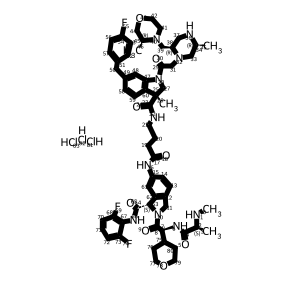 CN[C@@H](C)C(=O)N[C@H](C(=O)N1Cc2ccc(NC(=O)CCCNC(=O)[C@]3(C)CN(C(=O)CN4C[C@@H](C)NC[C@@H]4CN4CCOC[C@H]4C)c4cc(Cc5ccc(F)cc5)ccc43)cc2[C@H]1C(=O)Nc1c(F)cccc1F)C1CCOCC1.Cl.Cl.Cl